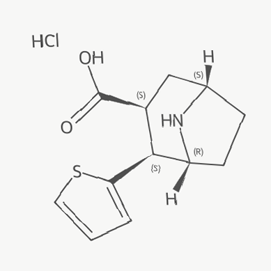 Cl.O=C(O)[C@H]1C[C@@H]2CC[C@@H](N2)[C@H]1c1cccs1